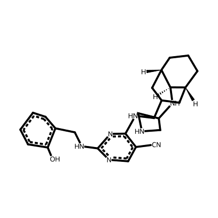 N#Cc1cnc(NCc2ccccc2O)nc1NCC1C[C@H]2CCC[C@@H](C1)[C@@H]2NC1CNC1